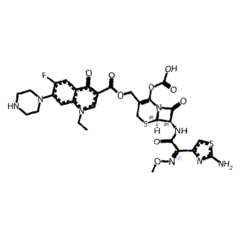 CCn1cc(C(=O)OCC2=C(OC(=O)O)N3C(=O)[C@@H](NC(=O)/C(=N\OC)c4csc(N)n4)[C@H]3SC2)c(=O)c2cc(F)c(N3CCNCC3)cc21